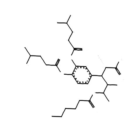 CCCCCC(=O)OC(C)C(C)C(c1ccc(OC(=O)CCC(C)C)c(OC(=O)CCC(C)C)c1)[C@H](N)C(=O)O